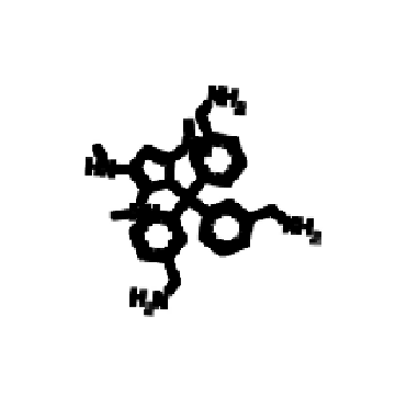 CNC1=CC(NC)=C(NC)[C]1C(c1cccc(CN)c1)(c1cccc(CN)c1)c1cccc(CN)c1